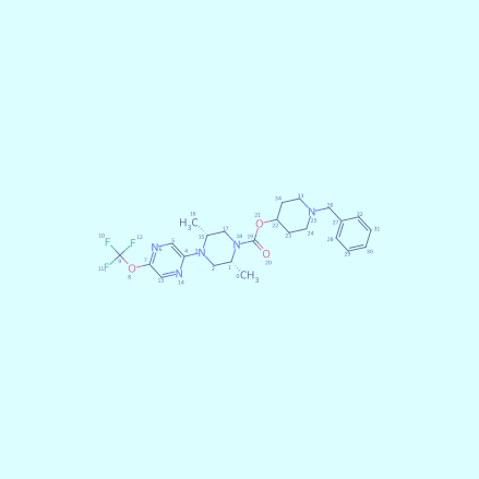 C[C@@H]1CN(c2cnc(OC(F)(F)F)cn2)[C@H](C)CN1C(=O)OC1CCN(Cc2ccccc2)CC1